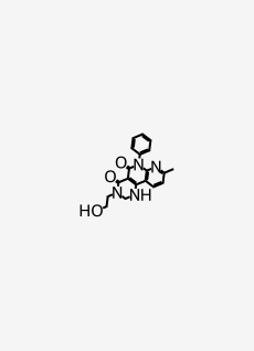 Cc1ccc2c3c(c(=O)n(-c4ccccc4)c2n1)C(=O)N(CCO)CN3